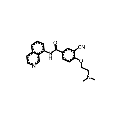 CN(C)CCOc1ccc(C(=O)Nc2cccc3ccncc23)cc1C#N